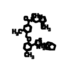 Cc1ccc(OCc2ccc(C(=O)N(C)Cc3nccn3C)cc2C)c(-c2csc(N3CC4CCC(C3)C4C)n2)c1